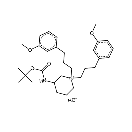 COc1cccc(CCC[N+]2(CCCc3cccc(OC)c3)CCCC(NC(=O)OC(C)(C)C)C2)c1.[OH-]